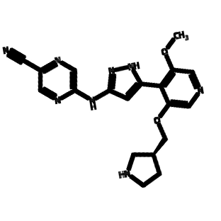 COc1cncc(OC[C@H]2CCNC2)c1-c1cc(Nc2cnc(C#N)cn2)n[nH]1